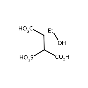 CCO.O=C(O)CC(C(=O)O)S(=O)(=O)O